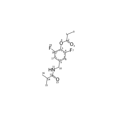 CCC(=O)Oc1c(F)cc(CNC(=O)C(C)C)cc1F